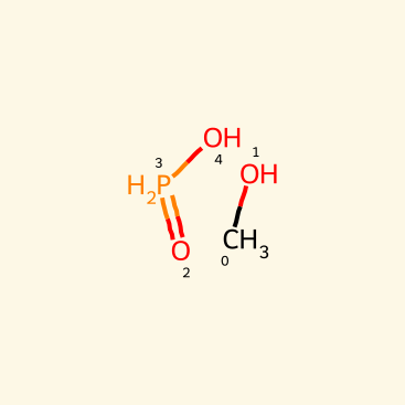 CO.O=[PH2]O